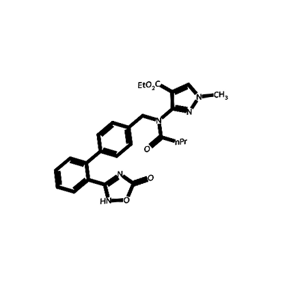 CCCC(=O)N(Cc1ccc(-c2ccccc2-c2nc(=O)o[nH]2)cc1)c1nn(C)cc1C(=O)OCC